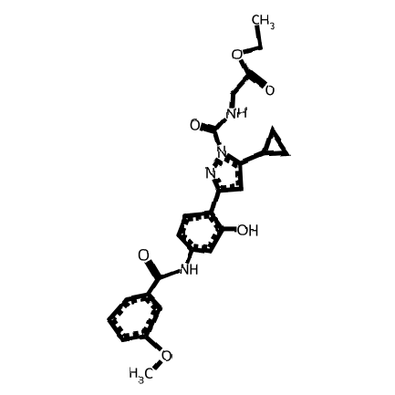 CCOC(=O)CNC(=O)n1nc(-c2ccc(NC(=O)c3cccc(OC)c3)cc2O)cc1C1CC1